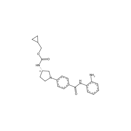 Nc1ccccc1NC(=O)c1ccc(N2CC[C@H](NC(=O)OCC3CC3)C2)cc1